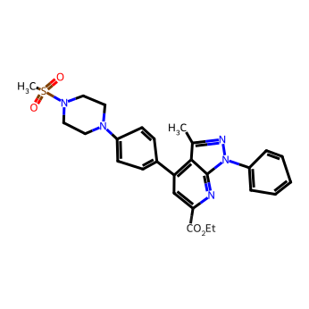 CCOC(=O)c1cc(-c2ccc(N3CCN(S(C)(=O)=O)CC3)cc2)c2c(C)nn(-c3ccccc3)c2n1